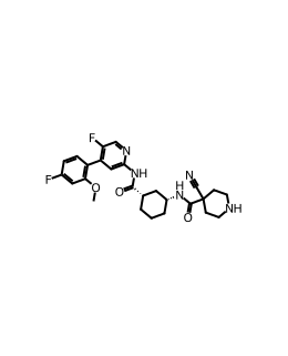 COc1cc(F)ccc1-c1cc(NC(=O)[C@H]2CCC[C@@H](NC(=O)C3(C#N)CCNCC3)C2)ncc1F